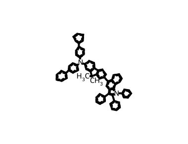 CC1(C)c2cc(-c3cc4c(-c5ccccc5)c(-c5ccccc5)n(-c5ccccc5)c4c4ccccc34)ccc2-c2ccc(N(c3ccc(-c4ccccc4)cc3)c3ccc(-c4ccccc4)cc3)cc21